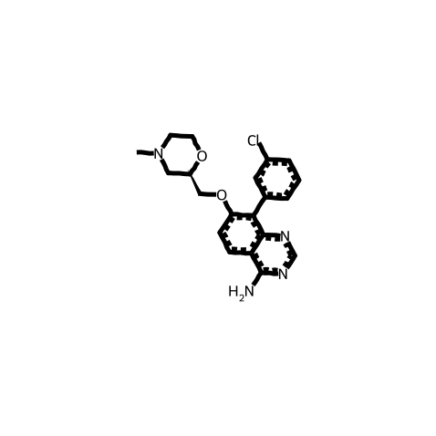 CN1CCO[C@@H](COc2ccc3c(N)ncnc3c2-c2cccc(Cl)c2)C1